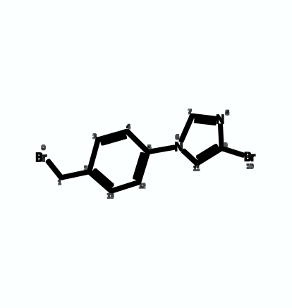 BrCc1ccc(-n2cnc(Br)c2)cc1